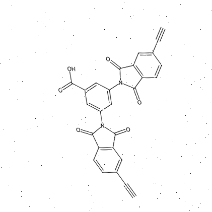 C#Cc1ccc2c(c1)C(=O)N(c1cc(C(=O)O)cc(N3C(=O)c4ccc(C#C)cc4C3=O)c1)C2=O